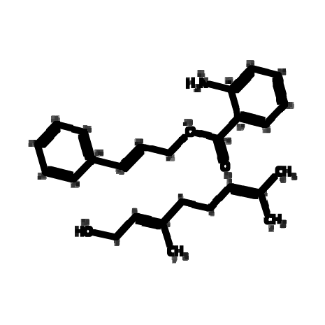 CC(C)=CCC/C(C)=C/CO.Nc1ccccc1C(=O)OCC=Cc1ccccc1